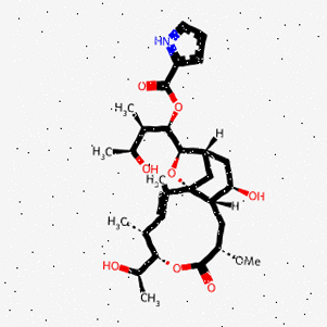 CO[C@H]1C[C@H]2[C@H](O)C[C@@H]3C[C@]2(O[C@H]3[C@H](OC(=O)c2ccc[nH]2)[C@H](C)[C@H](C)O)/C(C)=C/[C@@H](C)[C@@H]([C@@H](C)O)OC1=O